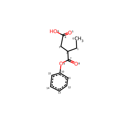 CCC(CC(=O)O)C(=O)Oc1ccccc1